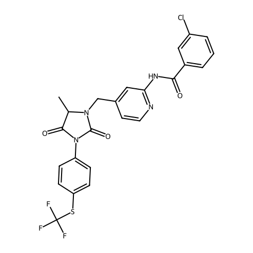 CC1C(=O)N(c2ccc(SC(F)(F)F)cc2)C(=O)N1Cc1ccnc(NC(=O)c2cccc(Cl)c2)c1